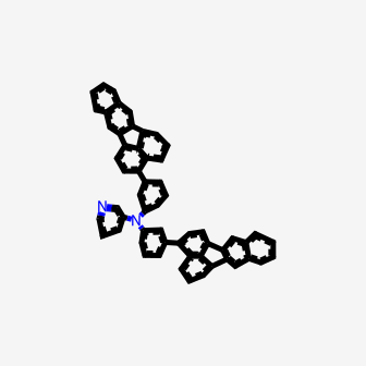 c1cncc(N(c2cccc(-c3ccc4c5c(cccc35)-c3cc5ccccc5cc3-4)c2)c2cccc(-c3ccc4c5c(cccc35)-c3cc5ccccc5cc3-4)c2)c1